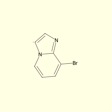 Brc1cccn2[c]cnc12